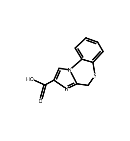 O=C(O)c1cn2c(n1)CSc1ccccc1-2